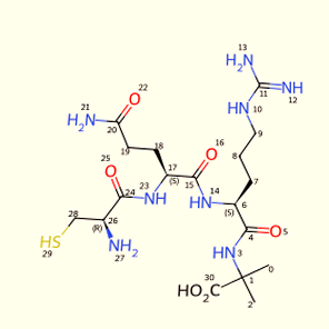 CC(C)(NC(=O)[C@H](CCCNC(=N)N)NC(=O)[C@H](CCC(N)=O)NC(=O)[C@@H](N)CS)C(=O)O